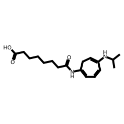 CC(C)NC1=CCC(NC(=O)CCCCCCC(=O)O)=CC=C1